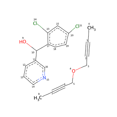 CC#CCOCC#CC.OC(c1cccnc1)c1ccc(Cl)cc1Cl